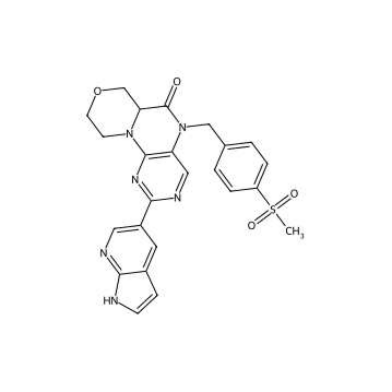 CS(=O)(=O)c1ccc(CN2C(=O)C3COCCN3c3nc(-c4cnc5[nH]ccc5c4)ncc32)cc1